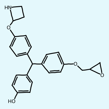 Oc1ccc(C(c2ccc(OCC3CO3)cc2)c2ccc(OC3CCN3)cc2)cc1